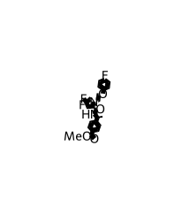 COC(=O)c1ccc([C@H](C)NC(=O)[C@H]2CC(F)(F)CN2CCOc2ccc(F)cc2)cc1